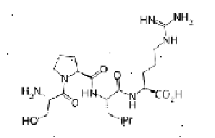 CC(C)C[C@H](NC(=O)[C@@H]1CCCN1C(=O)[C@@H](N)CO)C(=O)N[C@@H](CCCNC(=N)N)C(=O)O